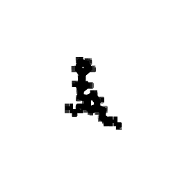 BCCC1=CC(C)=C(CC2CN(C3CCCC3)C2)CC1